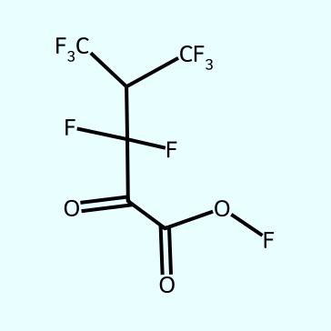 O=C(OF)C(=O)C(F)(F)C(C(F)(F)F)C(F)(F)F